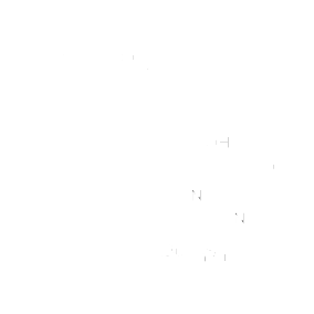 CCCCc1nc(Cl)c(O)n1C(CC(C)(C)C)c1ccc(C(C(=O)O)C2CCCC2)cc1